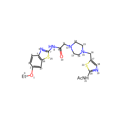 CCOc1ccc2nc(NC(=O)CN3CCN(Cc4cnc(NC(C)=O)s4)CC3)sc2c1